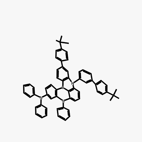 CC(C)(C)c1ccc(-c2cccc(N3c4cc(-c5ccc(C(C)(C)C)cc5)ccc4B4c5ccc(N(c6ccccc6)c6ccccc6)cc5N(c5ccccc5)c5cccc3c54)c2)cc1